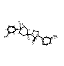 CC1(N2CCN(c3cccc(N)c3)C2=O)CCC(N)(c2cccc(Cl)c2)CC1